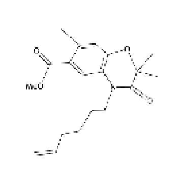 C=CCCCCN1C(=O)C(C)(C)Oc2cc(C)c(C(=O)OC)cc21